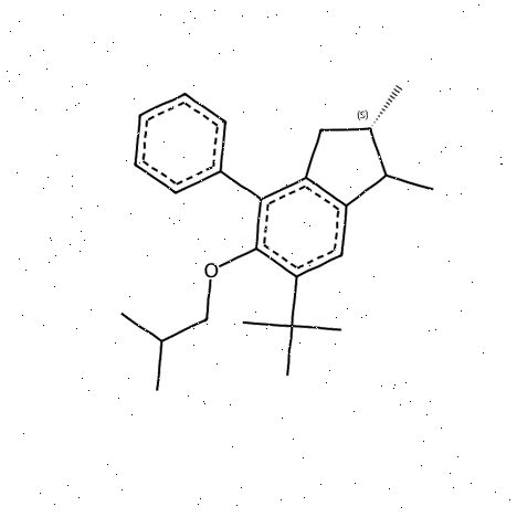 CC(C)COc1c(C(C)(C)C)cc2c(c1-c1ccccc1)C[C@H](C)C2C